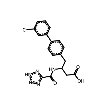 O=C(O)CC(Cc1ccc(-c2cccc(Cl)c2)cc1)NC(=O)c1nn[nH]n1